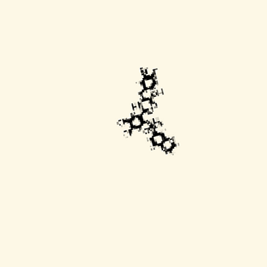 O=C(N[C@@H](Cc1ccc(F)c(Br)c1)C(=O)O)c1cc(Cl)c(Cl)cc1NS(=O)(=O)c1ccc2nccnc2c1